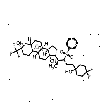 C[C@H](C(CCC1(O)CCC(F)(F)CC1)S(=O)(=O)c1ccccc1)[C@H]1CC[C@H]2[C@@H]3CC[C@H]4C[C@](O)(C(F)(F)F)CC[C@]4(C)[C@H]3CC[C@]12C